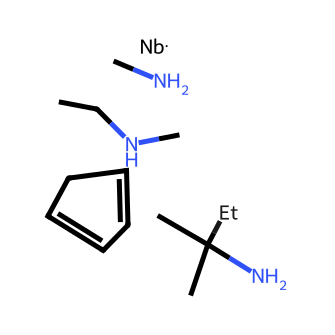 C1=CCC=C1.CCC(C)(C)N.CCNC.CN.[Nb]